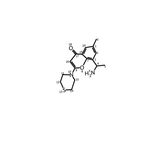 Cc1cc(C(C)N)c2oc(N3CCSCC3)cc(=O)c2c1